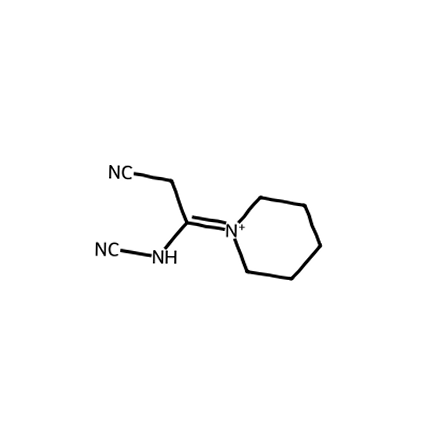 N#CCC(NC#N)=[N+]1CCCCC1